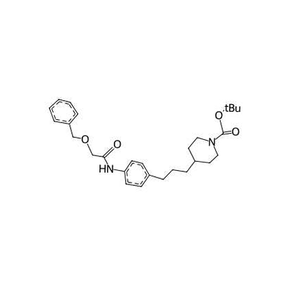 CC(C)(C)OC(=O)N1CCC(CCCc2ccc(NC(=O)COCc3ccccc3)cc2)CC1